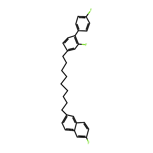 Fc1ccc(-c2ccc(CCCCCCCCCc3ccc4cc(F)ccc4c3)cc2F)cc1